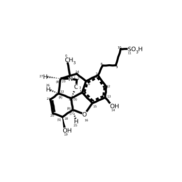 CN1CC[C@]23c4c5c(CCCS(=O)(=O)O)cc(O)c4O[C@H]2[C@@H](O)C=C[C@H]3[C@H]1C5